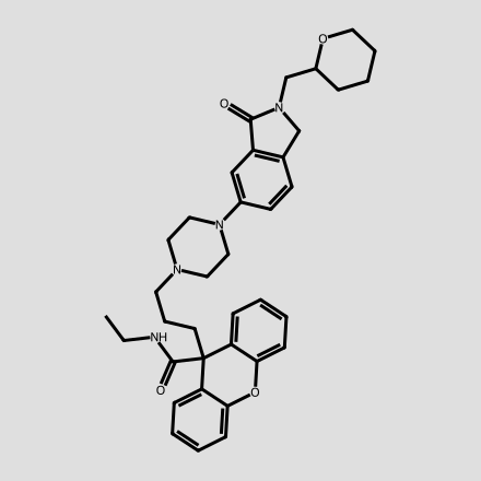 CCNC(=O)C1(CCCN2CCN(c3ccc4c(c3)C(=O)N(CC3CCCCO3)C4)CC2)c2ccccc2Oc2ccccc21